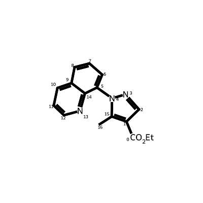 CCOC(=O)c1cnn(-c2cccc3cccnc23)c1C